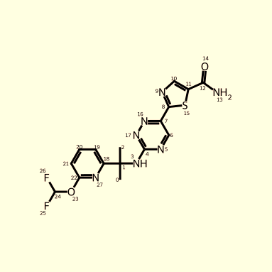 CC(C)(Nc1ncc(-c2ncc(C(N)=O)s2)nn1)c1cccc(OC(F)F)n1